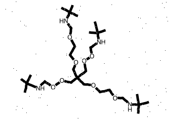 CC(C)(C)NCOCCOCC(COCCOCNC(C)(C)C)(COOCNC(C)(C)C)COOCNC(C)(C)C